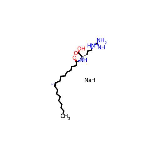 CCCCCCCC/C=C\CCCCCCCC(=O)N[C@@H](CCCNC(=N)N)C(=O)O.[NaH]